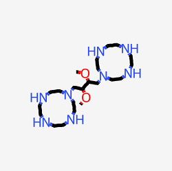 COC(CN1CCNCCNCCNCC1)C(CN1CCNCCNCCNCC1)OC